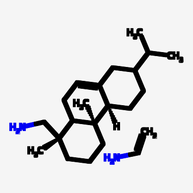 C=CN.CC(C)C1CC[C@@H]2C(=CCC3[C@@](C)(CN)CCC[C@@]32C)C1